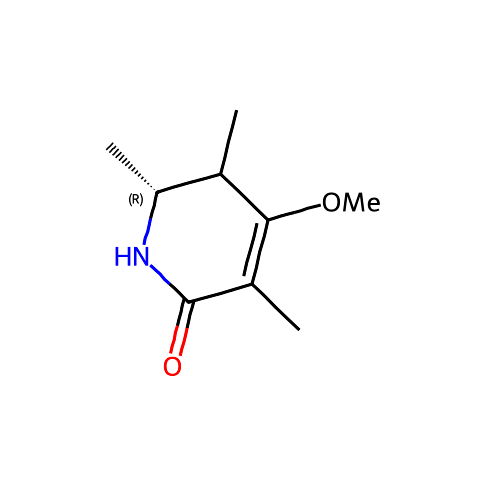 COC1=C(C)C(=O)N[C@H](C)C1C